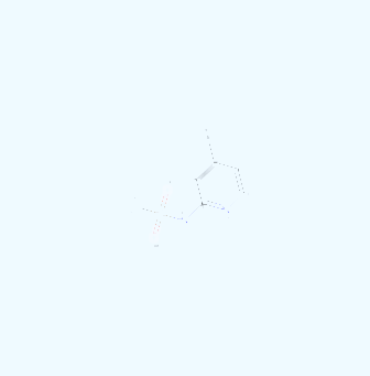 CC(=O)c1ccnc(NS(C)(=O)=O)c1